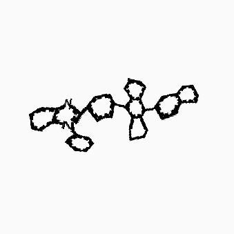 C1=c2c(-c3ccc(-c4nc5ccccc5n4-c4ccccc4)cc3)c3ccccc3c(-c3ccc4ccccc4c3)c2=CCC1